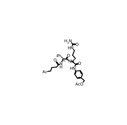 CC(=O)CCCC(=O)N[C@H](C(=O)N[C@@H](CCCNC(N)=O)C(=O)Nc1ccc(COC(C)=O)cc1)C(C)C